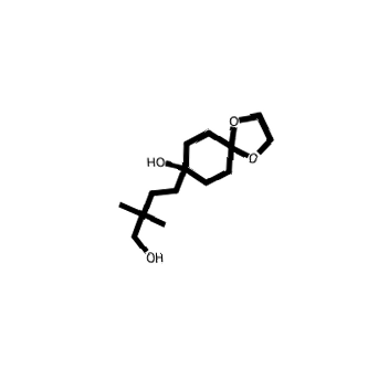 CC(C)(CO)CCC1(O)CCC2(CC1)OCCO2